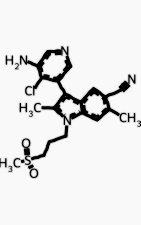 Cc1cc2c(cc1C#N)c(-c1cncc(N)c1Cl)c(C)n2CCCS(C)(=O)=O